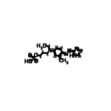 CCN(CCCOS(=O)(=O)O)c1ccc(N=Nc2nnc[nH]2)c(C)c1